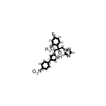 C[C@@H](n1cc(-c2ccc([N+](=O)[O-])cc2)cn1)[C@](O)(Cn1cncn1)c1ccc(F)cc1F